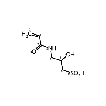 C=CC(=O)NCC(O)CS(=O)(=O)O